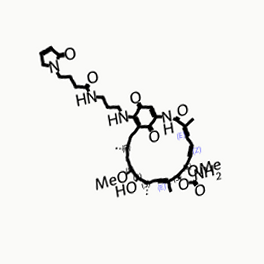 CO[C@H]1/C=C\C=C(/C)C(=O)NC2=CC(=O)C(NCCCNC(=O)CCCN3CC=CC3=O)=C(C[C@@H](C)C[C@H](OC)[C@H](O)[C@@H](C)/C=C(\C)[C@@H]1OC(N)=O)C2=O